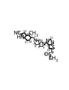 Cc1c(CN2CCC3(CCN(c4ncnc5sc(C[S+](C)[O-])cc45)C3)C2)ccc2[nH]c(C#N)cc12